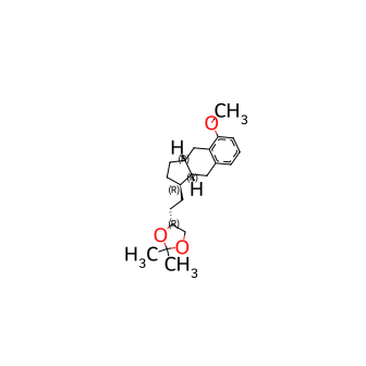 COc1cccc2c1C[C@H]1CC[C@H](CC[C@@H]3COC(C)(C)O3)[C@H]1C2